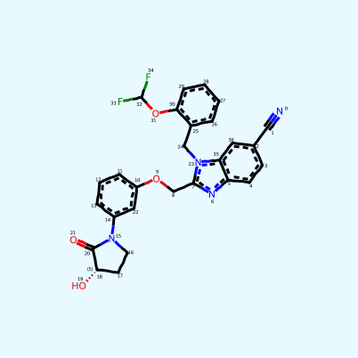 N#Cc1ccc2nc(COc3cccc(N4CC[C@H](O)C4=O)c3)n(Cc3ccccc3OC(F)F)c2c1